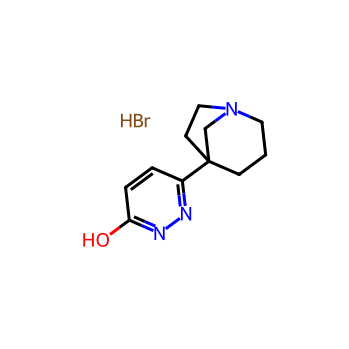 Br.Oc1ccc(C23CCCN(CC2)C3)nn1